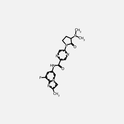 Cc1cn2cc(NC(=O)c3cnc(N4CCC(N(C)C)C4=O)cn3)cc(F)c2n1